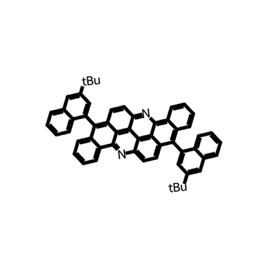 CC(C)(C)c1cc(-c2c3ccccc3c3nc4ccc5c(-c6cc(C(C)(C)C)cc7ccccc67)c6ccccc6c6nc7ccc2c3c7c4c56)c2ccccc2c1